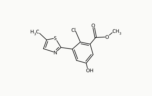 COC(=O)c1cc(O)cc(-c2ncc(C)s2)c1Cl